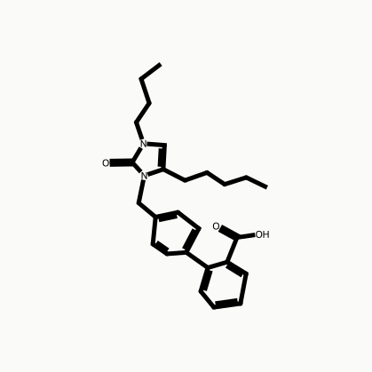 CCCCCc1cn(CCCC)c(=O)n1Cc1ccc(-c2ccccc2C(=O)O)cc1